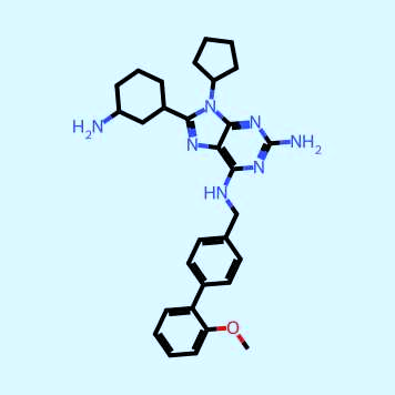 COc1ccccc1-c1ccc(CNc2nc(N)nc3c2nc(C2CCCC(N)C2)n3C2CCCC2)cc1